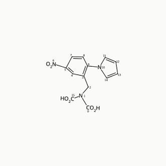 O=C(O)N(Cc1cc([N+](=O)[O-])ccc1-n1cccc1)C(=O)O